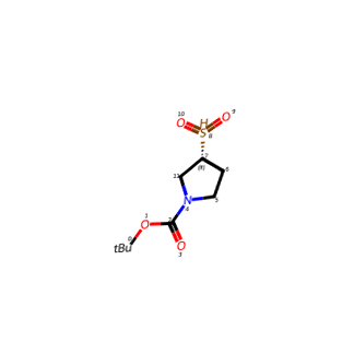 CC(C)(C)OC(=O)N1CC[C@@H]([SH](=O)=O)C1